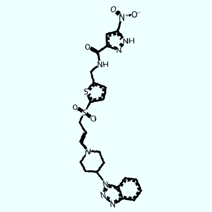 O=C(NCc1ccc(S(=O)(=O)CC=CN2CCC(n3nnc4ccccc43)CC2)s1)c1cc([N+](=O)[O-])[nH]n1